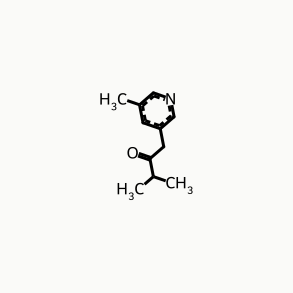 Cc1cncc(CC(=O)C(C)C)c1